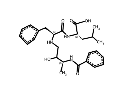 CC(C)C[C@H](NC(=O)[C@H](Cc1ccccc1)NCC(O)[C@H](C)NC(=O)c1ccccc1)C(=O)O